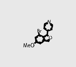 COc1cc(Br)c2c(-c3ccncc3)occ2c1